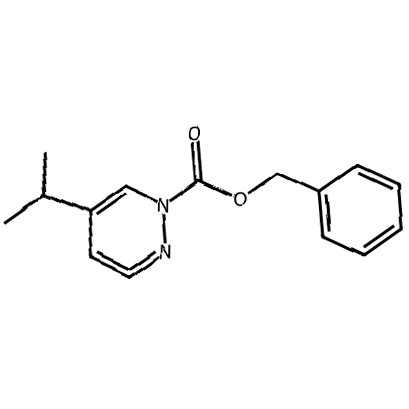 CC(C)C1=CN(C(=O)OCc2ccccc2)N=C=C1